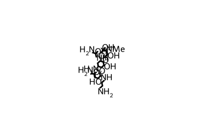 CN[C@@H]1[C@@H](O)[C@@H](O[C@H]2[C@H](NCC(O)CN)C[C@H](N)C(O[C@H]3OC(CN)=CC[C@H]3NCC(O)CCN)[C@@H]2O)OC[C@]1(C)O